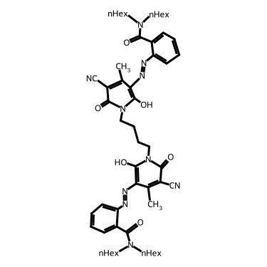 CCCCCCN(CCCCCC)C(=O)c1ccccc1/N=N/c1c(C)c(C#N)c(=O)n(CCCCn2c(O)c(/N=N/c3ccccc3C(=O)N(CCCCCC)CCCCCC)c(C)c(C#N)c2=O)c1O